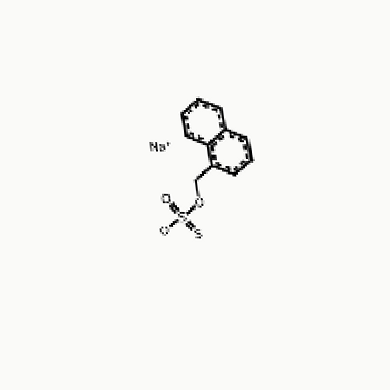 O=S([O-])(=S)OCc1cccc2ccccc12.[Na+]